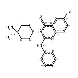 C[C@]1(N)CC[C@H](n2c(Nc3cccnc3)nc3ccc(F)cc3c2=O)CC1